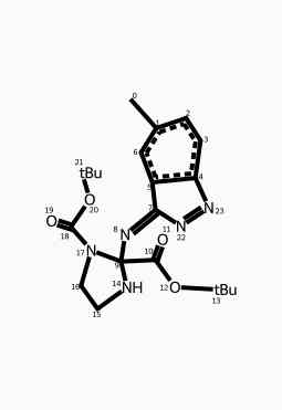 Cc1ccc2c(c1)C(=NC1(C(=O)OC(C)(C)C)NCCN1C(=O)OC(C)(C)C)N=N2